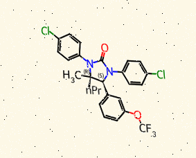 CCC[C@]1(C)[C@H](c2cccc(OC(F)(F)F)c2)N(c2ccc(Cl)cc2)C(=O)N1c1ccc(Cl)cc1